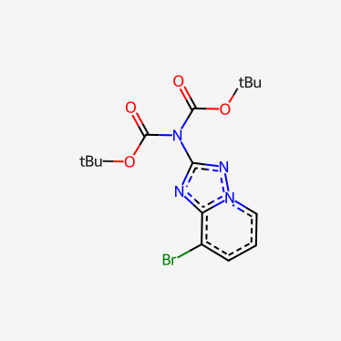 CC(C)(C)OC(=O)N(C(=O)OC(C)(C)C)c1nc2c(Br)cccn2n1